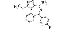 CCc1nnc2n1-c1ccccc1C(c1ccc(F)cc1)=NC2N